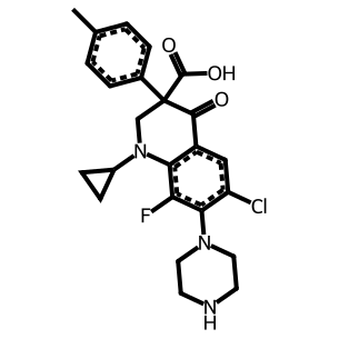 Cc1ccc(C2(C(=O)O)CN(C3CC3)c3c(cc(Cl)c(N4CCNCC4)c3F)C2=O)cc1